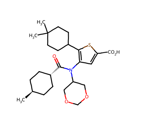 CC1(C)CCC(c2sc(C(=O)O)cc2N(C(=O)[C@H]2CC[C@H](C)CC2)C2COCOC2)CC1